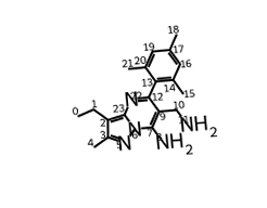 CCc1c(C)nn2c(N)c(CN)c(-c3c(C)cc(C)cc3C)nc12